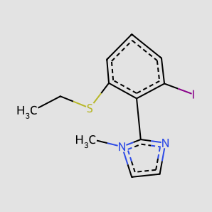 CCSc1cccc(I)c1-c1nccn1C